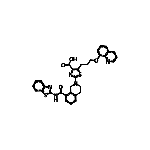 O=C(Nc1nc2ccccc2s1)c1cccc2c1CN(c1nc(C(=O)O)c(CCCOc3cccc4cccnc34)s1)CC2